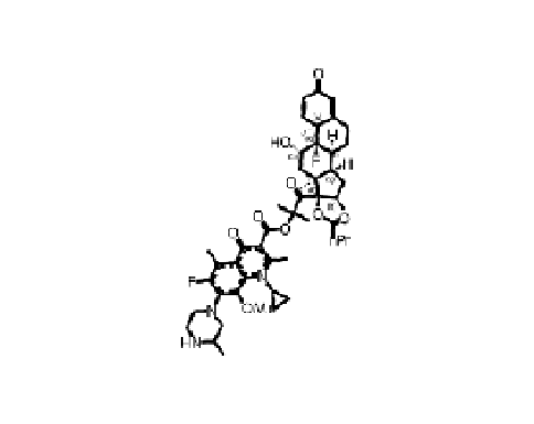 CCCC(=O)O[C@]1(C(=O)C(C)(C)OC(=O)c2c(C)n(C3CC3)c3c(OC)c(N4CCNC(C)C4)c(F)c(C)c3c2=O)[C@H](C)C[C@H]2[C@@H]3CCC4=CC(=O)C=C[C@]4(C)[C@@]3(F)[C@@H](O)C[C@@]21C